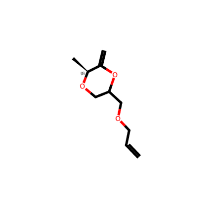 C=CCOCC1CO[C@@H](C)C(=C)O1